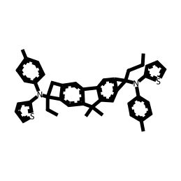 CCCC1(N(c2ccc(C)cc2)c2cccs2)c2cc3c(cc21)C(C)(C)c1cc2c(cc1-3)CC2(CC)N(c1ccc(C)cc1)c1cccs1